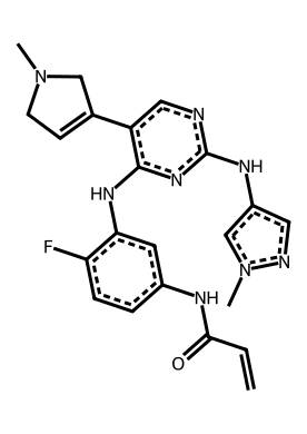 C=CC(=O)Nc1ccc(F)c(Nc2nc(Nc3cnn(C)c3)ncc2C2=CCN(C)C2)c1